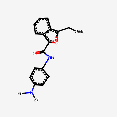 CCN(CC)c1ccc(NC(=O)c2oc(COC)c3ccccc23)cc1